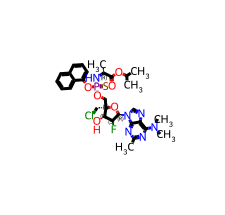 Cc1nc(N(C)C)c2ncn([C@@H]3O[C@](CCl)(COP(=S)(N[C@H](C)C(=O)OC(C)C)Oc4cccc5ccccc45)[C@@H](O)[C@@H]3F)c2n1